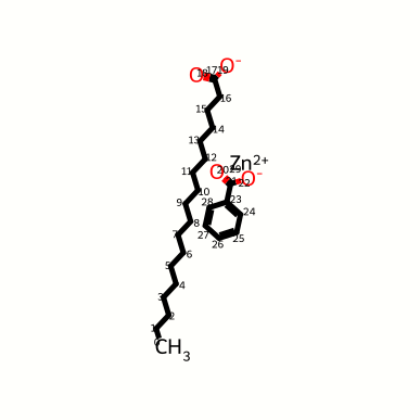 CCCCCCCCCCCCCCCCCC(=O)[O-].O=C([O-])c1ccccc1.[Zn+2]